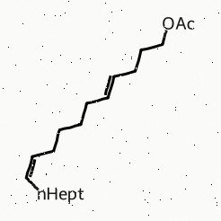 CCCCCCC/C=C\CCCC/C=C/CCCOC(C)=O